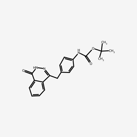 CC(C)(C)OC(=O)Nc1ccc(Cc2n[nH]c(=O)c3ccccc23)cc1